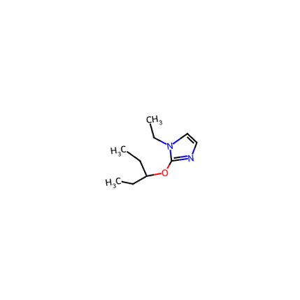 CCC(CC)Oc1nccn1CC